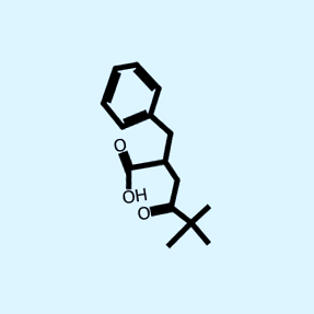 CC(C)(C)C(=O)CC(Cc1ccccc1)C(=O)O